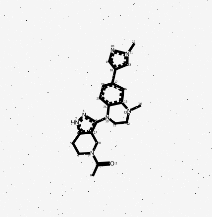 CC(=O)N1CCc2[nH]nc(N3CCN(C)c4cc(-c5cnn(C)c5)ccc43)c2C1